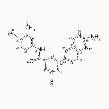 Cc1cc(NC(=O)c2cc(Br)cc(-c3ccc4nc(N)ncc4c3)c2)ccc1C(C)C